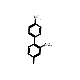 [CH2]c1ccc(-c2ccc([N+](=O)[O-])cc2)c([N+](=O)[O-])c1